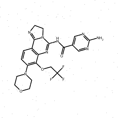 Nc1ncc(C(=O)NC2=Nc3c(ccc(N4CCOCC4)c3OCC(F)(F)F)C3=NCCN23)cn1